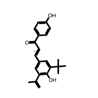 C=C(C)c1cc(/C=C/C(=O)c2ccc(O)cc2)cc(C(C)(C)C)c1O